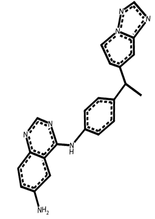 CC(c1ccc(Nc2ncnc3ccc(N)cc23)cc1)c1ccn2ncnc2c1